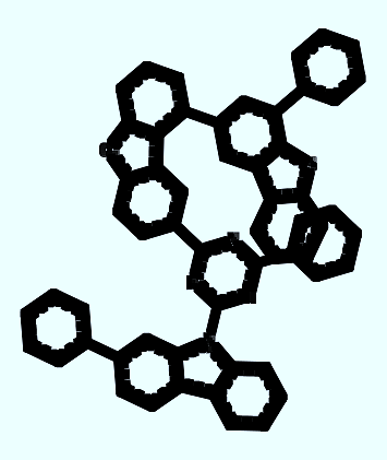 c1ccc(-c2ccc3c4ccccc4n(-c4nc(-c5ccccc5)nc(-c5ccc6oc7cccc(-c8cc(-c9ccccc9)c9sc%10ccccc%10c9c8)c7c6c5)n4)c3c2)cc1